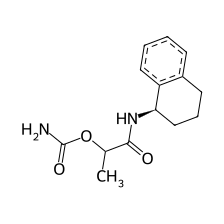 CC(OC(N)=O)C(=O)N[C@@H]1CCCc2ccccc21